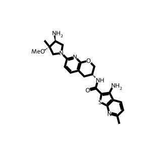 CO[C@@]1(C)CN(c2ccc3c(n2)OC[C@H](NC(=O)c2sc4nc(C)ccc4c2N)C3)C[C@@H]1N